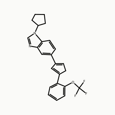 FC(F)(F)Oc1ccccc1C1=CC(c2ccc3c(c2)ncn3C2CCCC2)=CC1